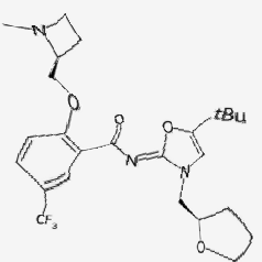 CN1CC[C@H]1COc1ccc(C(F)(F)F)cc1C(=O)/N=c1\oc(C(C)(C)C)cn1C[C@H]1CCCO1